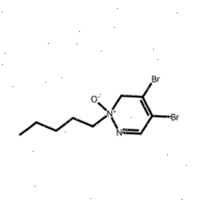 CCCCC[N+]1([O-])CC(Br)=C(Br)C=N1